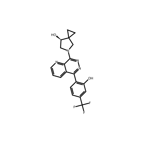 Oc1cc(C(F)(F)F)ccc1-c1nnc(N2C[C@@H](O)C3(CC3)C2)c2ncccc12